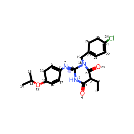 CCC1C(=O)N/C(=N\C2=CCC(OC(C)C)C=C2)N(CC2=CC=C(Cl)CC2)C1=O